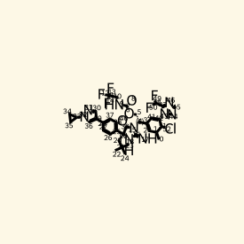 CC1C=C([C@@H](COC(=O)NCC(F)(F)F)N2C(=N)N[C@](CC(C)(C)C)(c3ccc(-c4cnn(C5CC5)c4)cc3)C2=O)C=C(n2ncnc2C(F)F)C1Cl